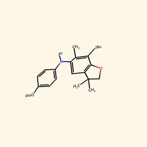 COc1ccc(N(c2cc3c(c(C(C)(C)C)c2C)OCC3(C)C)C(C)C)cc1